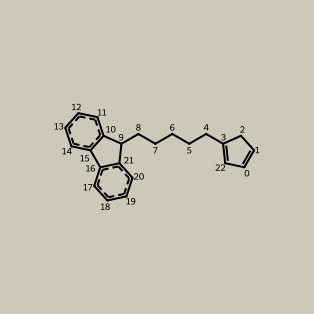 C1=CCC(CCCCCC2c3ccccc3-c3ccccc32)=C1